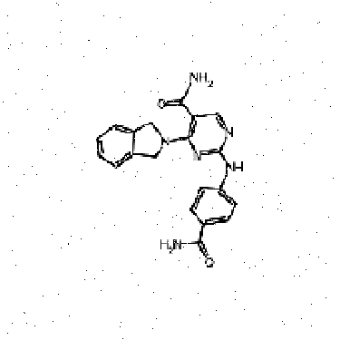 NC(=O)c1ccc(Nc2ncc(C(N)=O)c(N3Cc4ccccc4C3)n2)cc1